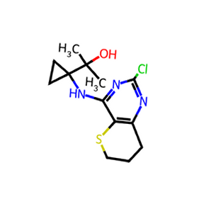 CC(C)(O)C1(Nc2nc(Cl)nc3c2SCCC3)CC1